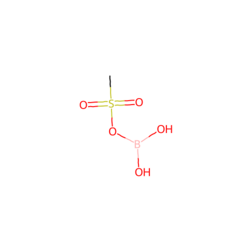 CS(=O)(=O)OB(O)O